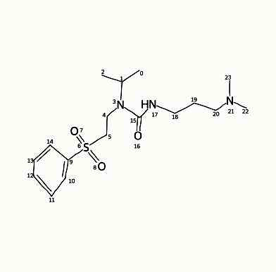 CC(C)N(CCS(=O)(=O)c1ccccc1)C(=O)NCCCN(C)C